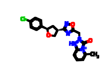 Cc1cccc2[nH]n(Cc3nc([C@@H]4CO[C@@H](c5ccc(Cl)cc5)C4)no3)c(=O)[n+]12